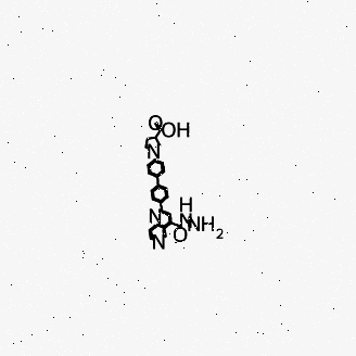 NNC(=O)c1cc(-c2ccc(-c3ccc(N4CCC(C(=O)O)C4)cc3)cc2)nc2ccncc12